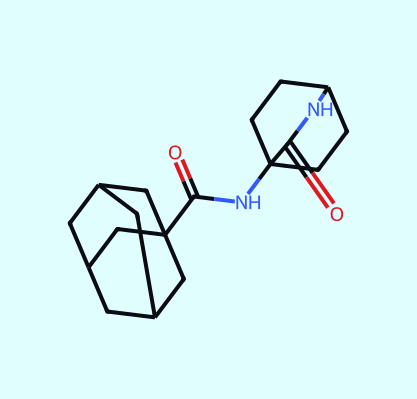 O=C(NC12CCC(CC1)NC2=O)C12CC3CC(CC(C3)C1)C2